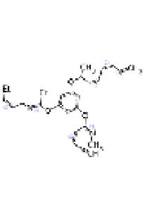 C#C/C=C\C(=N/C)Oc1cc(O/C(CC)=N/C/C=C\CC)cc(OC(C)/C=C\C=C/N=C)c1